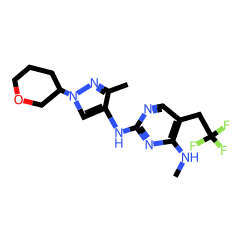 CNc1nc(Nc2cn(C3CCCOC3)nc2C)ncc1CC(F)(F)F